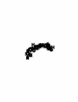 N#Cc1ccc(OC2CCC(NC(=O)c3ccc(N4CCN(Cc5ccc(C6CCC(=O)NC6=O)c(F)c5)CC4)nn3)CC2)cc1Cl